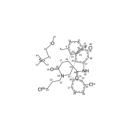 COCC[Si](C)(C)C.Cc1ccc(F)cc1[C@H]1CC(=O)N(CCCCl)[C@@H](c2cccc(Cl)c2)[C@]12C(=O)Nc1cc(Cl)ccc12